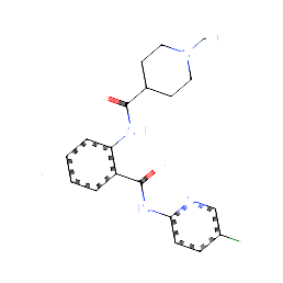 CC(C)N1CCC(C(=O)Nc2ccccc2C(=O)Nc2ccc(Cl)cn2)CC1.Cl